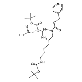 CC(C)(C)OC(=O)NCCCCCCN(NC(N)[C@H](CC(=O)O)C(=O)OC(C)(C)C)C(=O)OCc1ccccc1